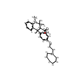 CC(=O)N1c2cc[c]cc2C(C)(c2ccc(OCCN3CCCCCC3)cc2)C(C(N)=O)C1(C)C